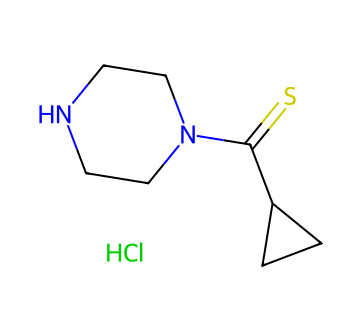 Cl.S=C(C1CC1)N1CCNCC1